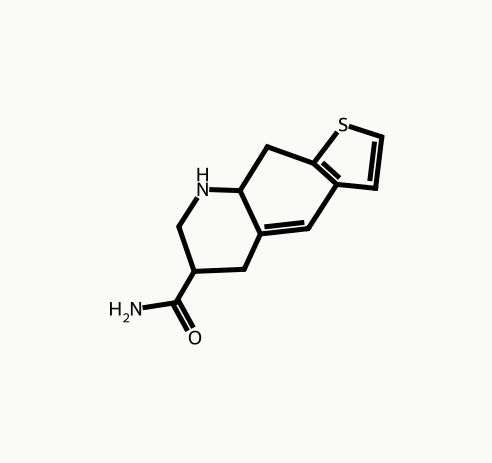 NC(=O)C1CNC2Cc3sccc3C=C2C1